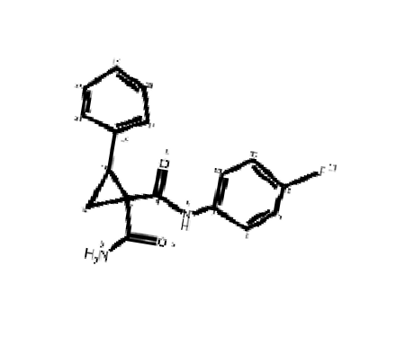 NC(=O)C1(C(=O)Nc2ccc(F)cc2)CC1c1ccccc1